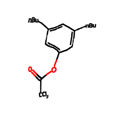 CCCCc1cc(CCCC)cc(OC(=O)C(Cl)(Cl)Cl)c1